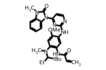 [CH2]CC(N(C)c1cc(OC)c(Nc2nccc(-n3c(=O)n(C)c4ccccc43)n2)cc1NC(=O)C=C)C(C)(C)C